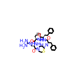 CC(C)C[C@@H](NC(=O)[C@@H](CCc1ccccc1)NC(=O)[C@H](N)Cc1ccccc1)C(=O)N[C@H](CNC(N)N)C(=O)N1CCCSCC1